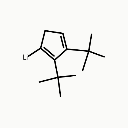 [Li][C]1=C(C(C)(C)C)C(C(C)(C)C)=CC1